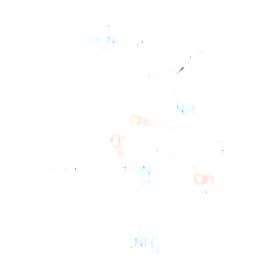 CCCCCCC(CCN)C(=O)N[C@H](C(=O)N[C@@H](CCN)C(C)=O)C(C)O